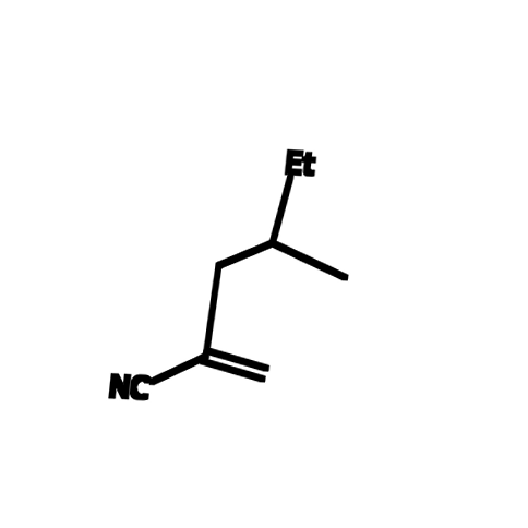 C=C(C#N)CC(C)CC